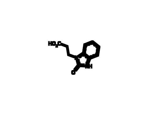 O=C(O)CCn1c(=O)[nH]c2ccccc21